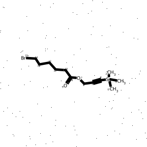 C[Si](C)(C)C#CCOC(=O)CCCCCBr